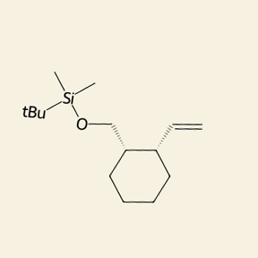 C=C[C@@H]1CCCC[C@@H]1CO[Si](C)(C)C(C)(C)C